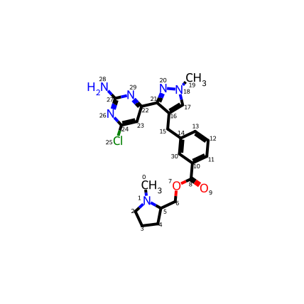 CN1CCCC1COC(=O)c1cccc(Cc2cn(C)nc2-c2cc(Cl)nc(N)n2)c1